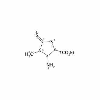 CCOC(=O)C1SC(=S)N(C)C1N